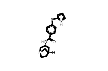 O=C(N[C@@H]1C[C@@H]2CCN(C2)C1)c1ccc(Sc2ccc[nH]2)cc1